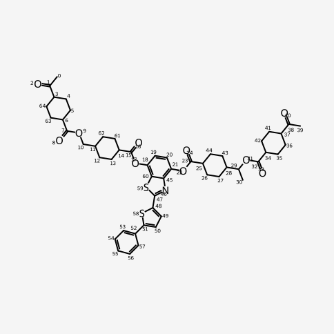 CC(=O)C1CCC(C(=O)OCC2CCC(C(=O)Oc3ccc(OC(=O)C4CCC(C(C)OC(=O)C5CCC(C(C)=O)CC5)CC4)c4nc(-c5ccc(-c6ccccc6)s5)sc34)CC2)CC1